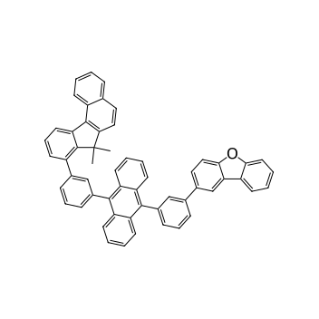 CC1(C)c2ccc3ccccc3c2-c2cccc(-c3cccc(-c4c5ccccc5c(-c5cccc(-c6ccc7oc8ccccc8c7c6)c5)c5ccccc45)c3)c21